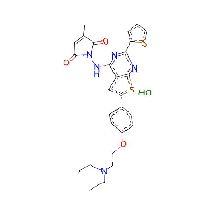 CCN(CC)CCOc1ccc(-c2cc3c(NN4C(=O)C=C(C)C4=O)nc(-c4cccs4)nc3s2)cc1.Cl